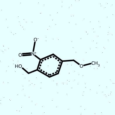 COCc1ccc(CO)c([N+](=O)[O-])c1